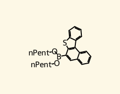 CCCCCOB(OCCCCC)c1cc2ccccc2c2c1sc1ccccc12